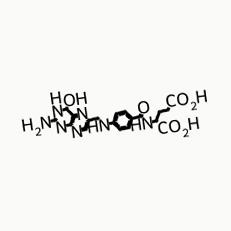 NC1=Nc2ncc(CNc3ccc(C(=O)NC(CCC(=O)O)C(=O)O)cc3)nc2C(O)N1